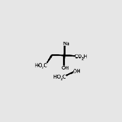 O=C(O)C[C](O)([Na])C(=O)O.O=C(O)O